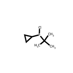 CC(C)(C)P(Cl)C1CC1